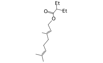 CCC(CC)C(=O)OC/C=C(\C)CCC=C(C)C